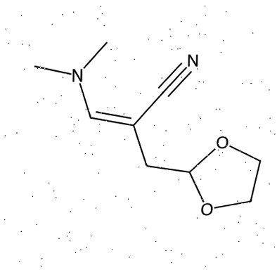 CN(C)/C=C(\C#N)CC1OCCO1